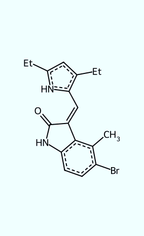 CCc1cc(CC)c(C=C2C(=O)Nc3ccc(Br)c(C)c32)[nH]1